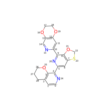 [c]1cc2c(c(-c3cc4c(c(-c5cc6c(cn5)OCCO6)n3)OCS4)n1)OCCC2